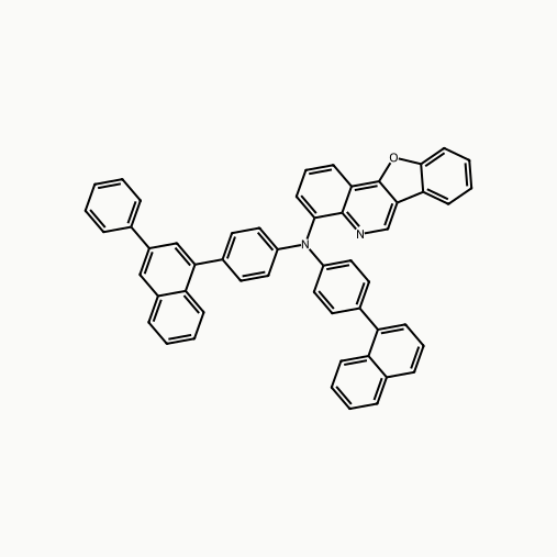 c1ccc(-c2cc(-c3ccc(N(c4ccc(-c5cccc6ccccc56)cc4)c4cccc5c4ncc4c6ccccc6oc54)cc3)c3ccccc3c2)cc1